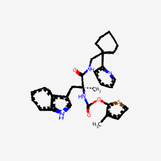 Cc1ccsc1OC(=O)N[C@@](C)(Cc1c[nH]c2ccccc12)C(=O)NCC1(c2ccccn2)CCCCC1